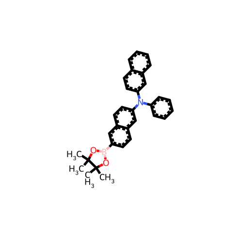 CC1(C)OB(c2ccc3cc(N(c4ccccc4)c4ccc5ccccc5c4)ccc3c2)OC1(C)C